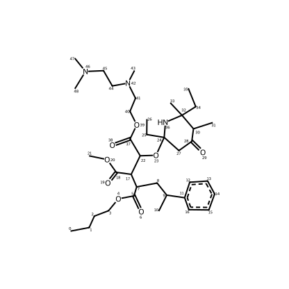 CCCCOC(=O)C(CC(C)c1ccccc1)C(C(=O)OC)C(OC1(CC)CC(=O)C(C)C(C)(CC)N1)C(=O)OCCN(C)CCN(C)C